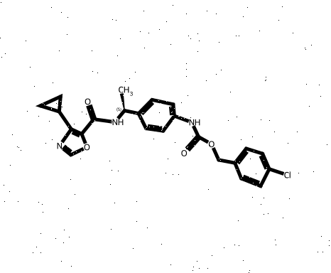 C[C@H](NC(=O)c1ocnc1C1CC1)c1ccc(NC(=O)OCc2ccc(Cl)cc2)cc1